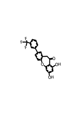 O=C1Cc2cc(-c3cccc(C(F)(F)F)c3)ccc2Oc2cc(O)cc(O)c21